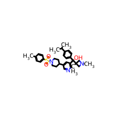 Cc1ccc(S(=O)(=O)N2CCC(c3cncc([C@@](O)(c4ccc(C(C)C)cc4)C4(C)CN(C)C4)c3)CC2)cc1